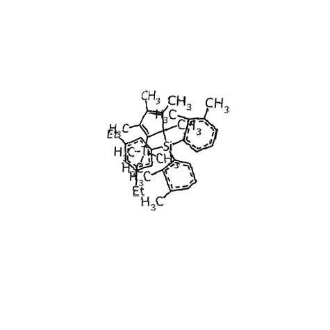 CCc1cc(CC)cc([Si](c2cccc(C)c2C)(c2cccc(C)c2C)C2(C)C(C)=C(C)C(C)=[C]2[Ti]([CH3])([CH3])[CH3])c1